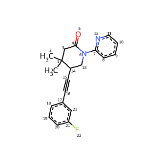 CC1(C)CC(=O)N(c2ccccn2)CC1C#Cc1cccc(F)c1